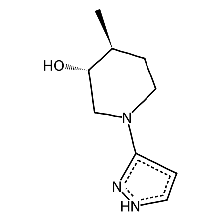 C[C@H]1CCN(c2cc[nH]n2)C[C@@H]1O